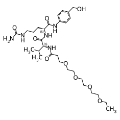 CCOCCOCCOCCOCCC(=O)N[C@H](C(=O)N[C@@H](CCCNC(N)=O)C(=O)Nc1ccc(CO)cc1)C(C)C